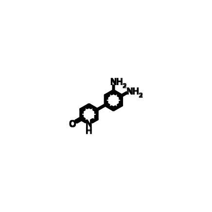 Nc1ccc(-c2ccc(=O)[nH]c2)cc1N